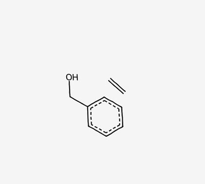 C=C.OCc1ccccc1